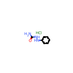 Cl.NC(=O)NNc1ccccc1